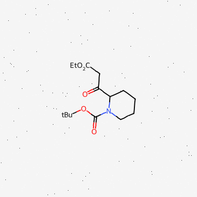 CCOC(=O)CC(=O)C1CCCCN1C(=O)OC(C)(C)C